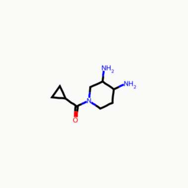 NC1CCN(C(=O)C2CC2)CC1N